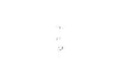 CC(C)(F)c1ccc2c(c1)[C@H]1O[C@@H]2c2ccc(C(=O)NCc3ccc(C(=N)N)cc3)cc21